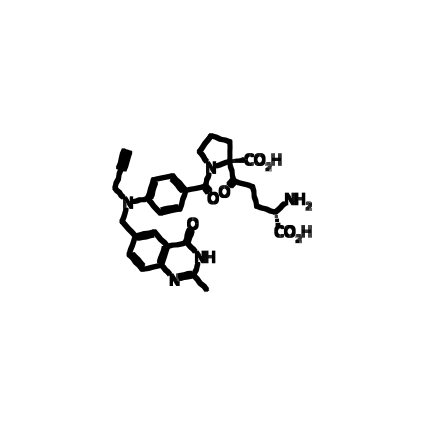 C#CCN(Cc1ccc2nc(C)[nH]c(=O)c2c1)c1ccc(C(=O)N2CCC[C@]2(C(=O)O)C(=O)CC[C@H](N)C(=O)O)cc1